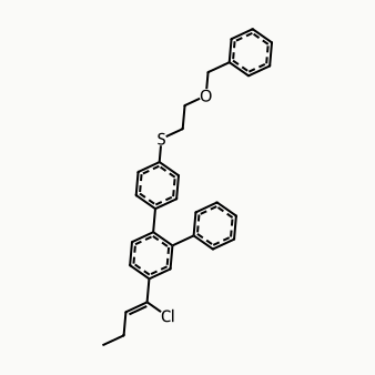 CCC=C(Cl)c1ccc(-c2ccc(SCCOCc3ccccc3)cc2)c(-c2ccccc2)c1